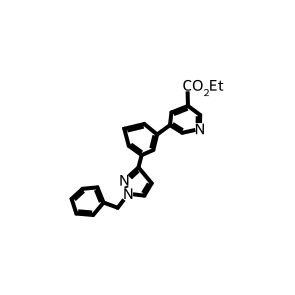 CCOC(=O)c1cncc(-c2cccc(-c3ccn(Cc4ccccc4)n3)c2)c1